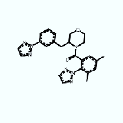 Cc1cc(C)c(-n2nccn2)c(C(=O)N2CCOCC2Cc2cccc(-n3nccn3)c2)c1